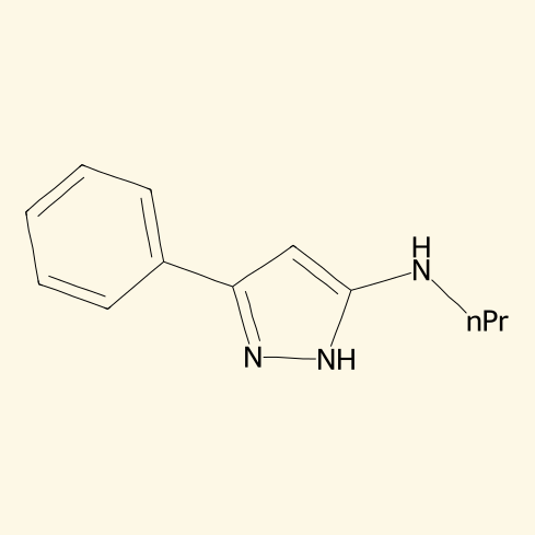 CCCNc1cc(-c2ccccc2)n[nH]1